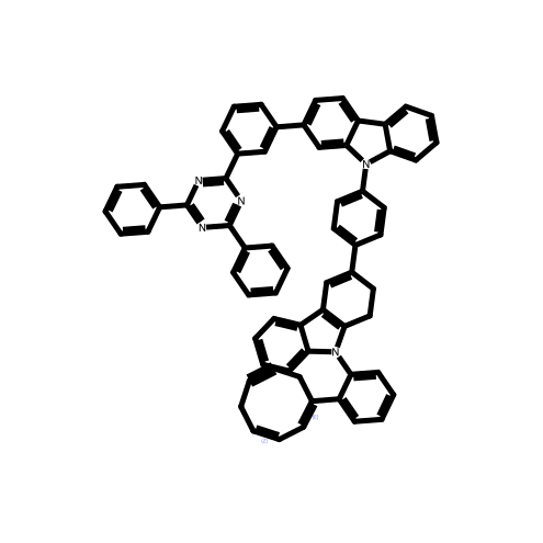 C1#CC/C(c2ccccc2-n2c3c(c4ccccc42)C=C(c2ccc(-n4c5ccccc5c5ccc(-c6cccc(-c7nc(-c8ccccc8)nc(-c8ccccc8)n7)c6)cc54)cc2)CC3)=C\C=C/C1